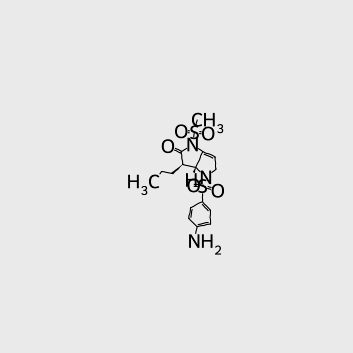 CCC[C@H]1C(=O)N(S(C)(=O)=O)C2=CCN(S(=O)(=O)c3ccc(N)cc3)[C@@H]21